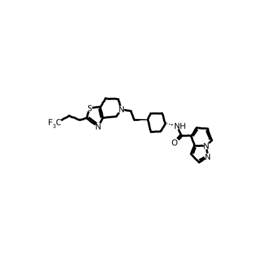 O=C(N[C@H]1CC[C@H](CCN2CCc3sc(CCC(F)(F)F)nc3C2)CC1)c1cccn2nccc12